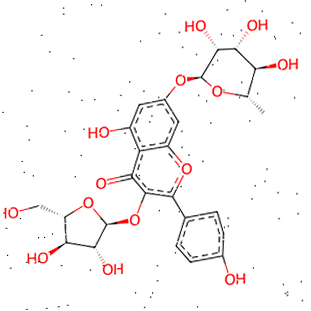 C[C@@H]1O[C@@H](Oc2cc(O)c3c(=O)c(O[C@@H]4O[C@@H](CO)[C@H](O)[C@H]4O)c(-c4ccc(O)cc4)oc3c2)[C@H](O)[C@H](O)[C@H]1O